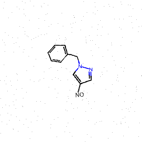 O=Nc1cnn(Cc2ccccc2)c1